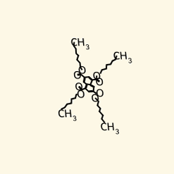 CCCCCCCCOC(=O)c1cc(C(=O)OCCCCCCCC)c2cc(C(=O)OCCCCCCCC)cc(C(=O)OCCCCCCCC)c2c1